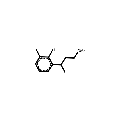 [CH2]C(CCOC)c1cccc(C)c1Cl